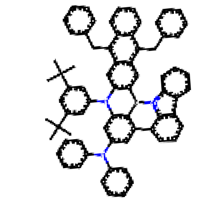 CC(C)(C)c1cc(N2c3cc4c(Cc5ccccc5)c5ccccc5c(Cc5ccccc5)c4cc3B3c4c(cc(N(c5ccccc5)c5ccccc5)cc42)-c2cccc4c5ccccc5n3c24)cc(C(C)(C)C)c1